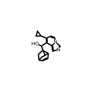 OC(c1c(C2CC2)ccn2cncc12)C1CC2C=CC1CC2